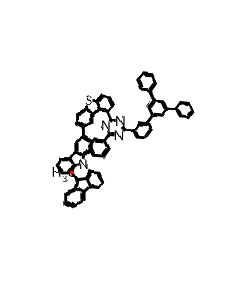 CC12c3ccccc3-c3cccc(c31)-n1c3ccc(-c4ccc5sc6cccc(-c7nc(-c8ccccc8)nc(-c8cccc(-c9cc(-c%10ccccc%10)cc(-c%10ccccc%10)c9)c8)n7)c6c5c4)cc3c3cccc2c31